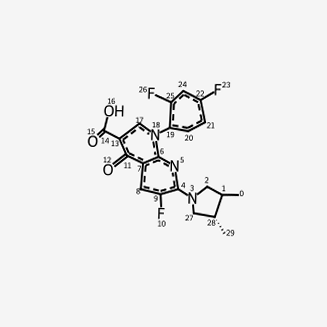 CC1CN(c2nc3c(cc2F)c(=O)c(C(=O)O)cn3-c2ccc(F)cc2F)C[C@H]1C